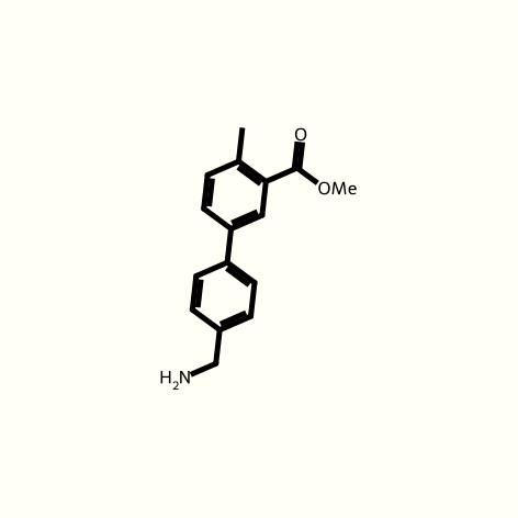 COC(=O)c1cc(-c2ccc(CN)cc2)ccc1C